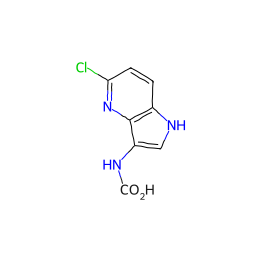 O=C(O)Nc1c[nH]c2ccc(Cl)nc12